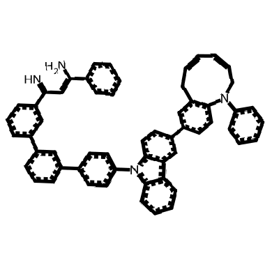 N=C(/C=C(\N)c1ccccc1)c1cccc(-c2cccc(-c3ccc(-n4c5ccccc5c5cc(-c6ccc7c(c6)C/C=C\C=C/CN7c6ccccc6)ccc54)cc3)c2)c1